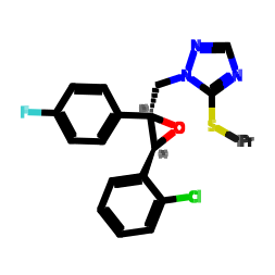 CC(C)Sc1ncnn1C[C@]1(c2ccc(F)cc2)O[C@H]1c1ccccc1Cl